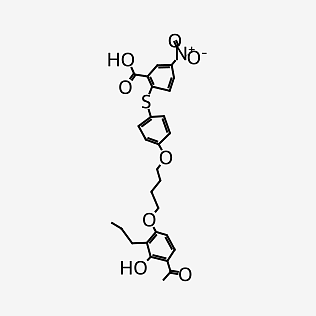 CCCc1c(OCCCCOc2ccc(Sc3ccc([N+](=O)[O-])cc3C(=O)O)cc2)ccc(C(C)=O)c1O